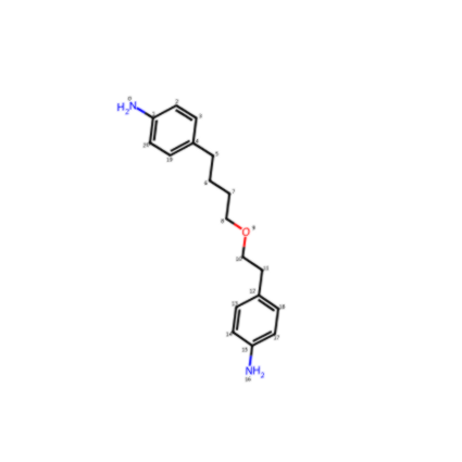 Nc1ccc(CCCCOCCc2ccc(N)cc2)cc1